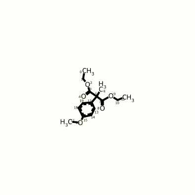 CCOC(=O)C(C)(C(=O)OCC)c1ccc(OC)cc1